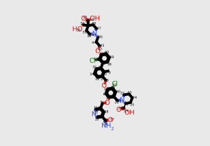 Cc1c(COc2cc(OCc3cncc(C(N)=O)c3)c(CN3CCCC[C@H]3C(=O)O)cc2Cl)cccc1-c1cccc(OCCCN2CCC(CO)(C(=O)O)CC2)c1Cl